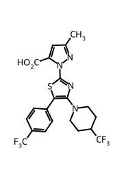 Cc1cc(C(=O)O)n(-c2nc(N3CCC(C(F)(F)F)CC3)c(-c3ccc(C(F)(F)F)cc3)s2)n1